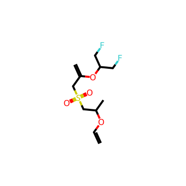 C=COC(C)CS(=O)(=O)CC(=C)OC(CF)CF